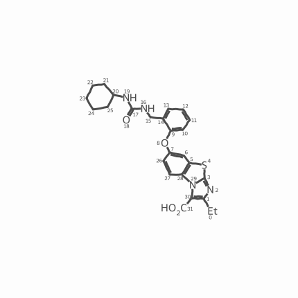 CCc1nc2sc3cc(Oc4ccccc4CNC(=O)NC4CCCCC4)ccc3n2c1C(=O)O